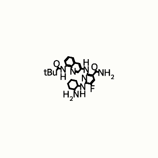 CC(C)(C)C(=O)Nc1cccc2cc(Nc3nc(NC4CCCCC4N)c(F)cc3C(N)=O)cnc12